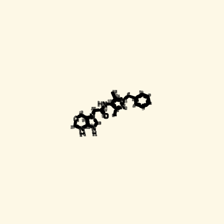 Cc1nn(Cc2ccccc2)c(C)c1NC(=O)CN1CNC2=C1COCN2